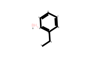 B.CCc1ccccc1